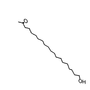 CC(=O)CCCCCCCCCCCCCCCCCCO